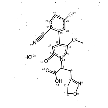 COc1cn(C(CC2=NOCC2)C(=O)O)c(=O)cc1-c1cc(Cl)ccc1C#N.Cl